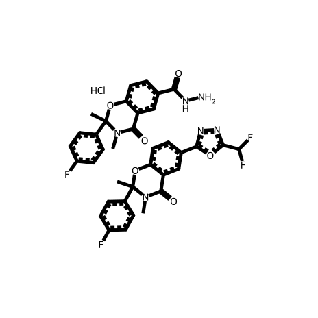 CN1C(=O)c2cc(-c3nnc(C(F)F)o3)ccc2OC1(C)c1ccc(F)cc1.CN1C(=O)c2cc(C(=O)NN)ccc2OC1(C)c1ccc(F)cc1.Cl